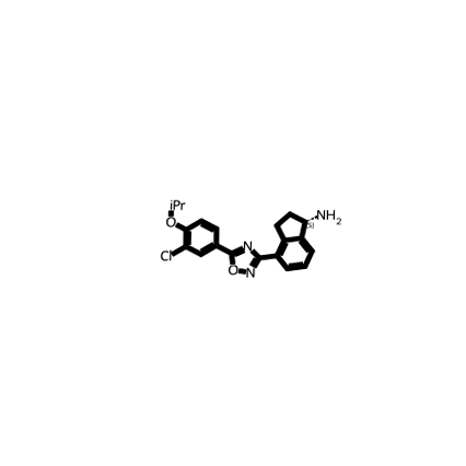 CC(C)Oc1ccc(-c2nc(-c3cccc4c3CC[C@@H]4N)no2)cc1Cl